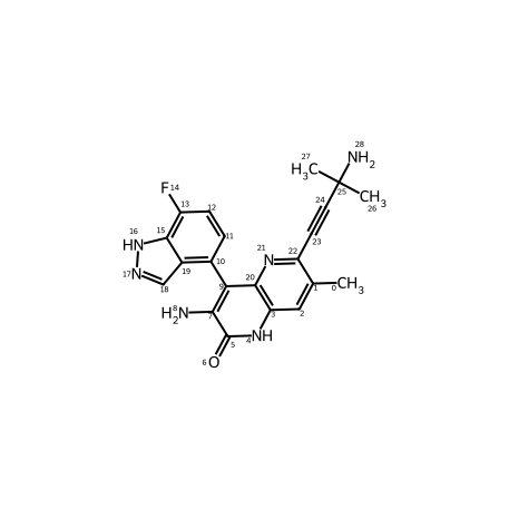 Cc1cc2[nH]c(=O)c(N)c(-c3ccc(F)c4[nH]ncc34)c2nc1C#CC(C)(C)N